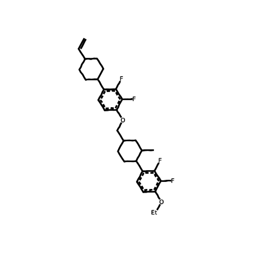 C=CC1CCC(c2ccc(OCC3CCC(c4ccc(OCC)c(F)c4F)C(C)C3)c(F)c2F)CC1